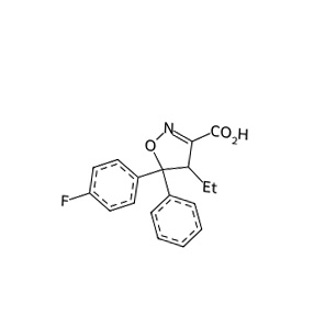 CCC1C(C(=O)O)=NOC1(c1ccccc1)c1ccc(F)cc1